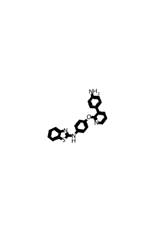 Nc1ccc(-c2cccnc2Oc2ccc(Nc3nc4ccccc4s3)cc2)cc1